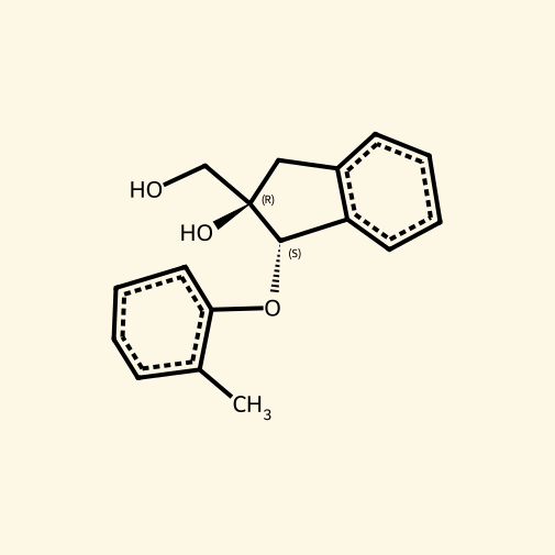 Cc1ccccc1O[C@H]1c2ccccc2C[C@@]1(O)CO